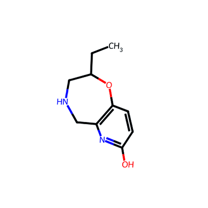 CCC1CNCc2nc(O)ccc2O1